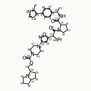 Cc1ncsc1-c1ccc(C(C)NC(=O)C2CCCN2C(=O)C(c2cc(N3CCN(C(=O)OCC4CCC5CCCN54)CC3)no2)C(C)C)cc1